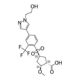 CO[C@H]1C[C@@H](S(=O)(=O)c2ccc(-c3cnn(CCO)c3)cc2C(F)(F)F)C[C@@H]1C(=O)O